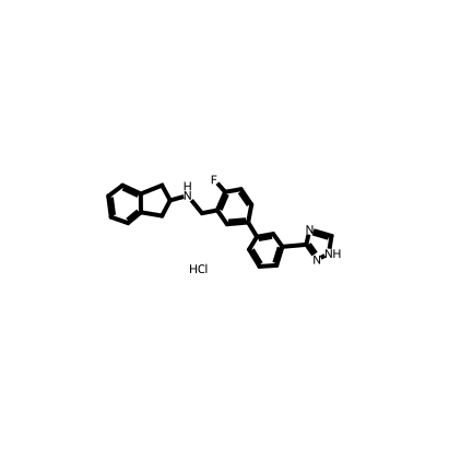 Cl.Fc1ccc(-c2cccc(-c3nc[nH]n3)c2)cc1CNC1Cc2ccccc2C1